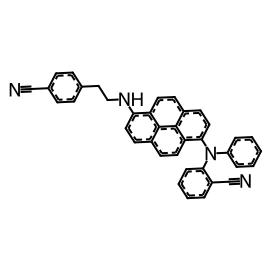 N#Cc1ccc(CCNc2ccc3ccc4c(N(c5ccccc5)c5ccccc5C#N)ccc5ccc2c3c54)cc1